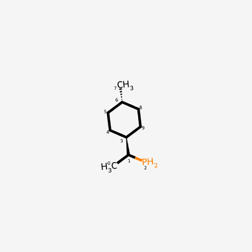 CC(P)[C@H]1CC[C@H](C)CC1